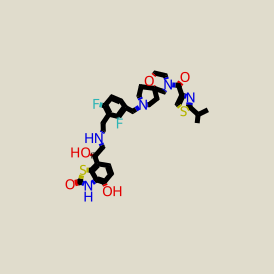 CC(C)c1nc(C(=O)N2CCOC3(CCN(Cc4ccc(F)c(CCNC[C@H](O)c5ccc(O)c6[nH]c(=O)sc56)c4F)CC3)C2)cs1